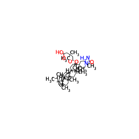 C=C(C)[C@@H]1CC[C@]2(C)CC[C@]3(C)[C@H](CC[C@@H]4[C@@]5(C)CC[C@@](OC(=O)CC(C)(C)CC(=O)O)(C6CC[N+](C)(C(N)=O)CC6)C(C)(C)[C@@H]5CC[C@]43C)[C@@H]12